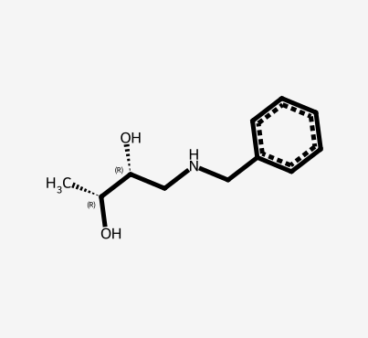 C[C@@H](O)[C@H](O)CNCc1ccccc1